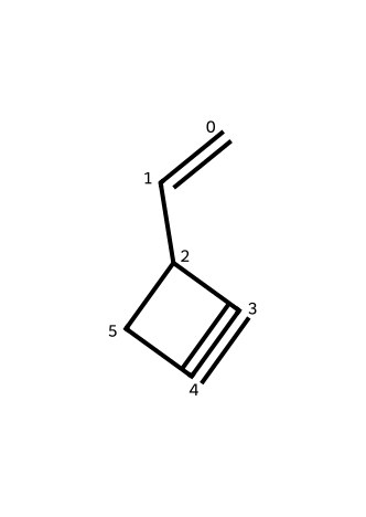 C=CC1C#CC1